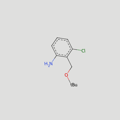 CC(C)(C)OCc1c(N)cccc1Cl